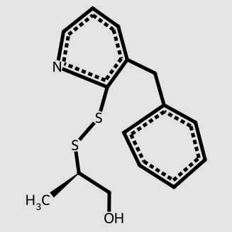 C[C@H](CO)SSc1ncccc1Cc1ccccc1